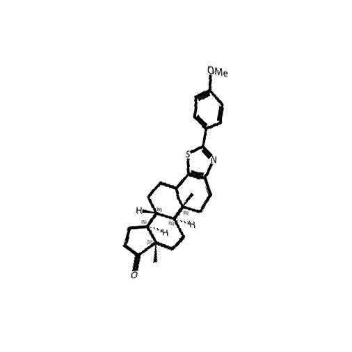 COc1ccc(-c2nc3c(s2)C2CC[C@@H]4[C@H](CC[C@]5(C)C(=O)CC[C@@H]45)[C@@]2(C)CC3)cc1